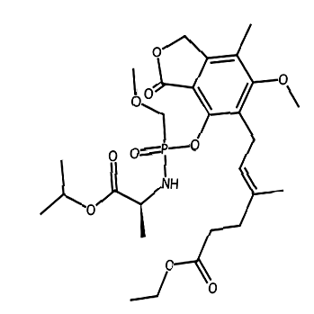 CCOC(=O)CC/C(C)=C/Cc1c(OC)c(C)c2c(c1OP(=O)(COC)N[C@@H](C)C(=O)OC(C)C)C(=O)OC2